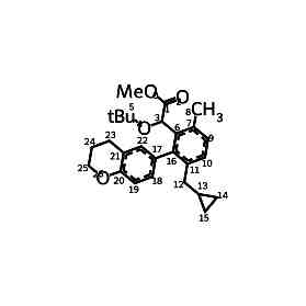 COC(=O)C(OC(C)(C)C)c1c(C)ccc(CC2CC2)c1-c1ccc2c(c1)CCCO2